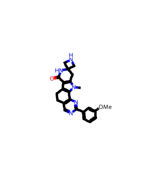 COc1cccc(-c2ncc3c(n2)-c2c(c4c(n2C)CC2(CNC2)NC4=O)CC3)c1